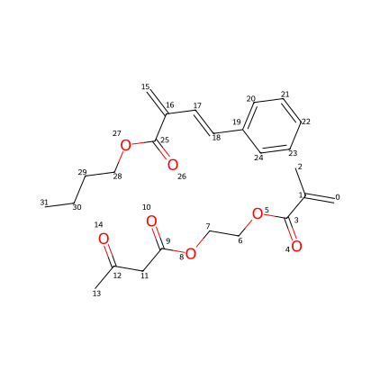 C=C(C)C(=O)OCCOC(=O)CC(C)=O.C=C(C=Cc1ccccc1)C(=O)OCCCC